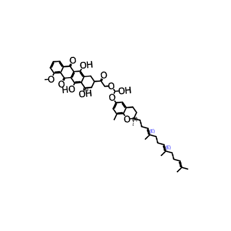 COc1cccc2c1C(=O)c1c(O)c3c(c(O)c1C2=O)CC(C(=O)COC(O)Oc1cc(C)c2c(c1)CC[C@@](C)(CC/C=C(\C)CC/C=C(\C)CCC=C(C)C)O2)C[C@H]3O